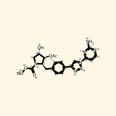 CC(=O)O[C@H]1[C@@H](Cc2ccc(-c3cn(-c4ccnc(N)n4)nn3)cc2)N(C(=O)OC(C)(C)C)C[C@@H]1O